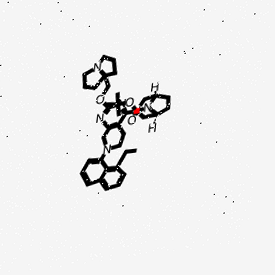 CCc1cccc2cccc(N3CCc4c(nc(OCC56CCCN5CCC6)nc4N4C[C@H]5CC[C@@H](C4)N5C(=O)OC(C)(C)C)C3)c12